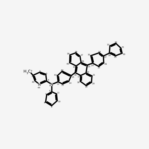 Cc1ccc(N(c2ccccc2)c2ccc(-c3c4ccccc4c(-c4ccc(-c5ccccc5)cc4)c4ccccc34)cc2)nc1